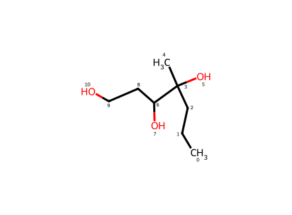 CCCC(C)(O)C(O)CCO